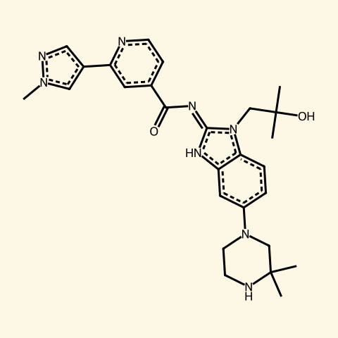 Cn1cc(-c2cc(C(=O)/N=c3\[nH]c4cc(N5CCNC(C)(C)C5)ccc4n3CC(C)(C)O)ccn2)cn1